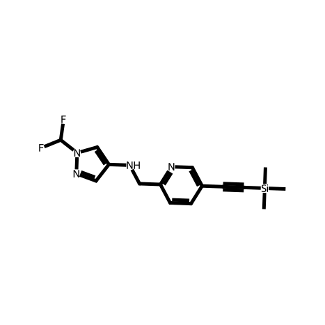 C[Si](C)(C)C#Cc1ccc(CNc2cnn(C(F)F)c2)nc1